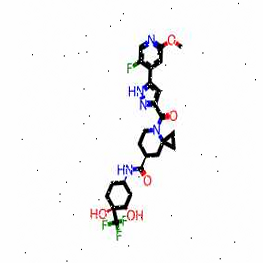 COc1cc(-c2cc(C(=O)N3CC[C@H](C(=O)N[C@H]4CC[C@@](O)(C(F)(F)F)[C@H](O)C4)CC34CC4)n[nH]2)c(F)cn1